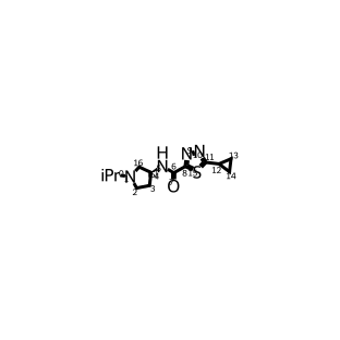 CC(C)N1CC[C@H](NC(=O)c2nnc(C3CC3)s2)C1